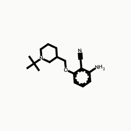 CC(C)(C)N1CCCC(COc2cccc(N)c2C#N)C1